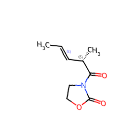 C/C=C/[C@H](C)C(=O)N1CCOC1=O